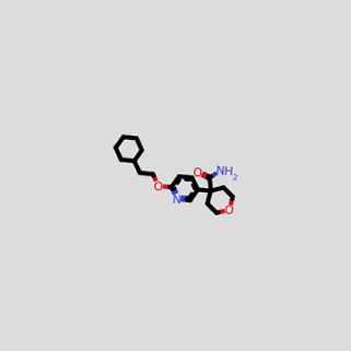 NC(=O)C1(c2ccc(OCCC3CCCCC3)nc2)CCOCC1